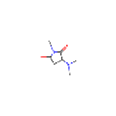 CN1C(=O)CC(N(C)C)C1=O